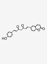 O=C(/C=C/c1ccc(O)cc1)CC(=O)/C=C/c1ccc2oc(=O)ccc2c1